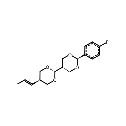 C/C=C/[C@H]1CO[C@H]([C@H]2CO[C@H](c3ccc(F)cc3)OC2)OC1